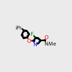 CNC(=O)c1cnc(Oc2ccc(C(C)C)cc2)c(F)c1